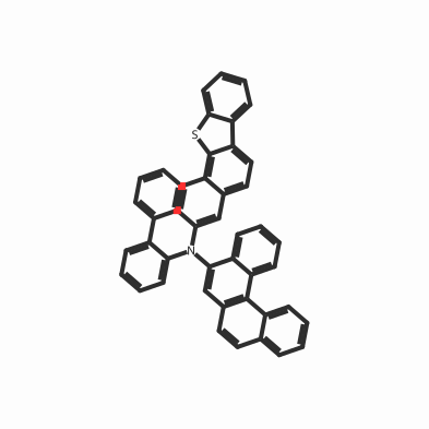 c1ccc(-c2ccccc2N(c2ccc3c(ccc4c5ccccc5sc34)c2)c2cc3ccc4ccccc4c3c3ccccc23)cc1